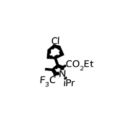 CCOC(=O)c1c(-c2ccc(Cl)cc2)c(C)c(C(F)(F)F)n1CC(C)C